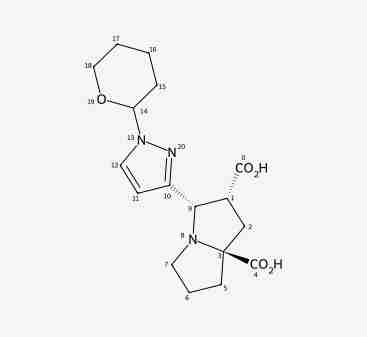 O=C(O)[C@@H]1C[C@]2(C(=O)O)CCCN2[C@@H]1c1ccn(C2CCCCO2)n1